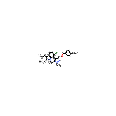 COc1ccc(COCc2nn(C)c(C)c2-c2c(Cl)ccc3c(CCC(C)=O)c(C(=O)O)n(C)c23)cc1